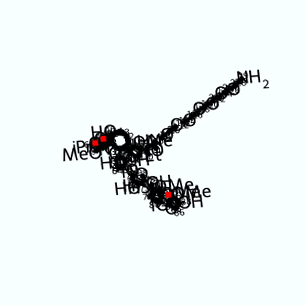 CCN(CC(=O)NCCOCCOCCOCCOCCOCCOCCOCCN)[C@H]1CO[C@@H](O[C@H]2[C@H](O[C@H]3C#CC=CC#C[C@]4(O)CC(=O)C(NC(=O)OC)=C3/C4=C\CSSC(C)C)O[C@H](C)[C@@H](NO[C@H]3C[C@H](O)[C@H]([SH]=C(O)c4c(C)c(I)c(O[C@@H]5O[C@@H](C)[C@H](O)[C@@H](OC)[C@H]5O)c(OC)c4OC)[C@@H](C)O3)[C@@H]2O)C[C@@H]1OC